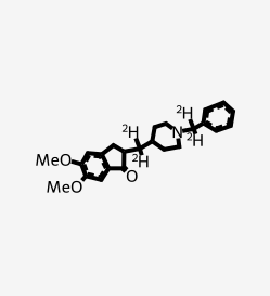 [2H]C([2H])(C1CCN(C([2H])([2H])c2ccccc2)CC1)C1Cc2cc(OC)c(OC)cc2C1=O